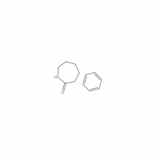 O=C1CCCCCN1.c1ccccc1